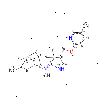 CC1(C)C(=[N+](C#N)C2C3CC4CC2CC(C#N)(C4)C3)NCC1COc1ccc(C#N)cn1